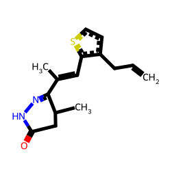 C=CCc1ccsc1C=C(C)C1=NNC(=O)CC1C